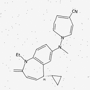 C=C1C=C[C@@H](C2CC2)c2cc(N(C)N3C=CC=C(C#N)C=C3)ccc2N1CC